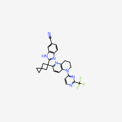 N#Cc1ccc2nc(C3(c4ccc5c(n4)CCCN5c4ccnc(C(F)(F)F)n4)CC4(CC4)C3)[nH]c2c1